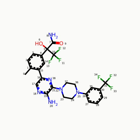 Cc1ccc(C(O)(C(N)=O)C(F)(F)F)cc1-c1cnc(N)c(N2CCN(c3cccc(C(F)(F)F)c3)CC2)n1